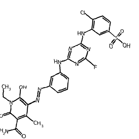 CCn1c(O)c(/N=N/c2cccc(Nc3nc(F)nc(Nc4cc(S(=O)(=O)O)ccc4Cl)n3)c2)c(C)c(C(N)=O)c1=O